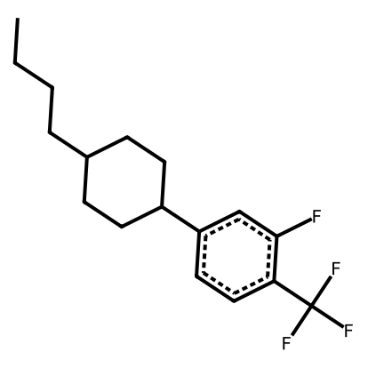 CCCCC1CCC(c2ccc(C(F)(F)F)c(F)c2)CC1